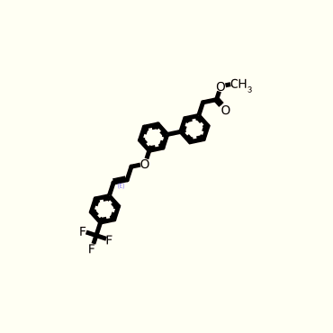 COC(=O)Cc1cccc(-c2cccc(OC/C=C/c3ccc(C(F)(F)F)cc3)c2)c1